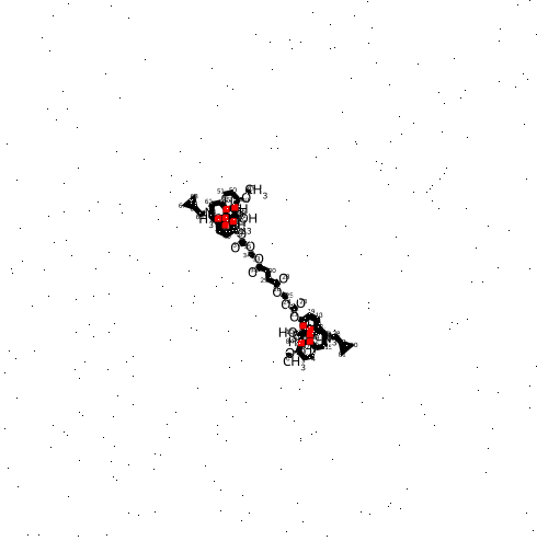 CO[C@]12CC[C@@]3(C[C@@H]1[C@](C)(O)C(C)(C)C)C1Cc4ccc(OC(=O)OCOC(=O)CCC(=O)OCOC(=O)Oc5ccc6c7c5O[C@H]5[C@@]8(OC)CC[C@@]9(C[C@@H]8[C@](C)(O)C(C)(C)C)C(C6)N(CC6CC6)CC[C@]759)c5c4[C@@]3(CCN1CC1CC1)[C@H]2O5